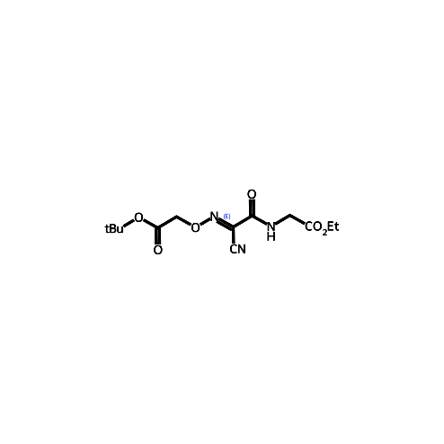 CCOC(=O)CNC(=O)/C(C#N)=N/OCC(=O)OC(C)(C)C